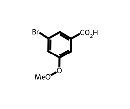 COOc1cc(Br)cc(C(=O)O)c1